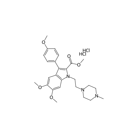 COC(=O)c1c(-c2ccc(OC)cc2)c2cc(OC)c(OC)cc2n1CCN1CCN(C)CC1.Cl.Cl